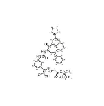 CC(C)(C)OC(=O)CON=C(C(=O)O)c1cccc(NC(=O)NN2C=C(c3ccccc3)c3ccccc3N(CC(=O)N3CCCC3)C2=O)c1